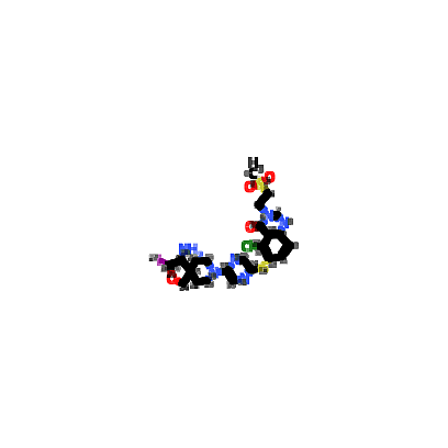 CS(=O)(=O)CCn1cnc2ccc(Sc3cnc(N4CCC5(CC4)CO[C@@H](I)[C@H]5N)cn3)c(Cl)c2c1=O